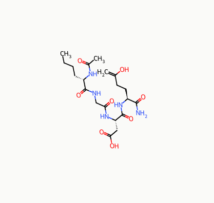 C=C(O)CC[C@H](NC(=O)[C@H](CC(=O)O)NC(=O)CNC(=O)[C@H](CCCC)NC(C)=O)C(N)=O